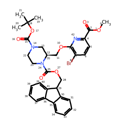 COC(=O)c1ccc(Br)c(OC[C@@H]2CN(C(=O)OC(C)(C)C)CCN2C(=O)OCC2c3ccccc3-c3ccccc32)n1